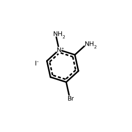 Nc1cc(Br)cc[n+]1N.[I-]